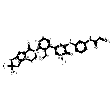 C=CC(=O)Nc1cccc(Nc2nc(-c3ccnc(N4CCn5c(cc6c5CC(C)(C)C6)C4=O)c3CO)cn(C)c2=O)c1